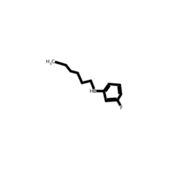 CCCCCCBc1cccc(F)c1